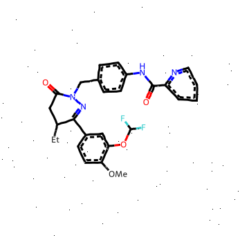 CCC1CC(=O)N(Cc2ccc(NC(=O)c3ccccn3)cc2)N=C1c1ccc(OC)c(OC(F)F)c1